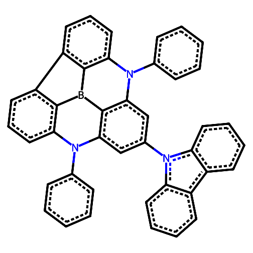 c1ccc(N2c3cccc4c3B3c5c-4cccc5N(c4ccccc4)c4cc(-n5c6ccccc6c6ccccc65)cc2c43)cc1